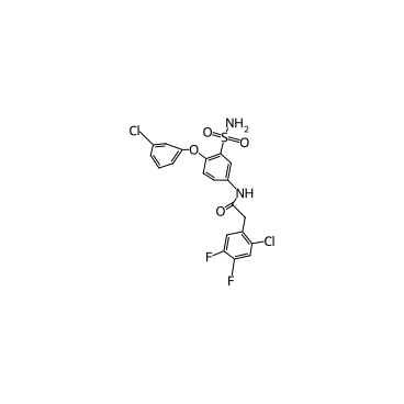 NS(=O)(=O)c1cc(NC(=O)Cc2cc(F)c(F)cc2Cl)ccc1Oc1cccc(Cl)c1